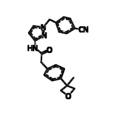 CC1(c2ccc(CC(=O)Nc3ccn(Cc4ccc(C#N)cc4)n3)cc2)COC1